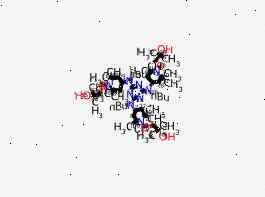 CCCCN(c1nc(N(CCCC)C2CC(C)(C)N(OCC(C)(C)O)C(C)(C)C2)nc(N(CCCC)C2CC(C)(C)N(OCC(C)(C)O)C(C)(C)C2)n1)C1CC(C)(C)N(OCC(C)(C)O)C(C)(C)C1